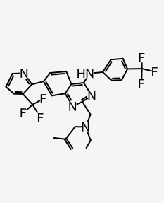 C=C(C)CN(CC)Cc1nc(Nc2ccc(C(F)(F)F)cc2)c2ccc(-c3ncccc3C(F)(F)F)cc2n1